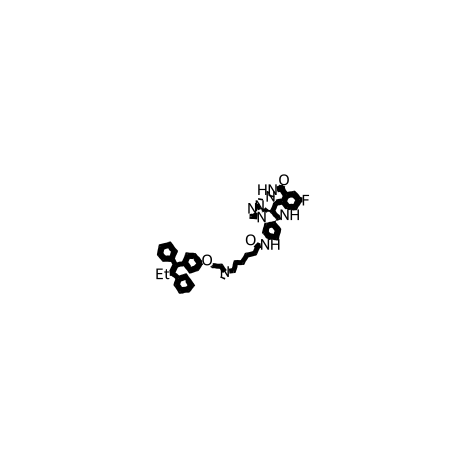 CC/C(=C(\c1ccccc1)c1ccc(OCCN(C)CCCCCC(=O)Nc2ccc([C@H]3Nc4cc(F)cc5c(=O)[nH]nc(c45)[C@@H]3c3ncnn3C)cc2)cc1)c1ccccc1